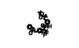 CC(C(C(=O)Nc1cccc(CC2(C(=O)OC(C)(C)C)CC2)c1)c1ccc(CN2Cc3ccccc3C2=O)cc1)C(F)(F)F